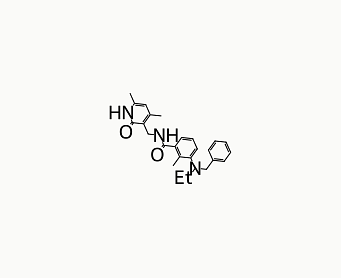 CCN(Cc1ccccc1)c1cccc(C(=O)NCc2c(C)cc(C)[nH]c2=O)c1C